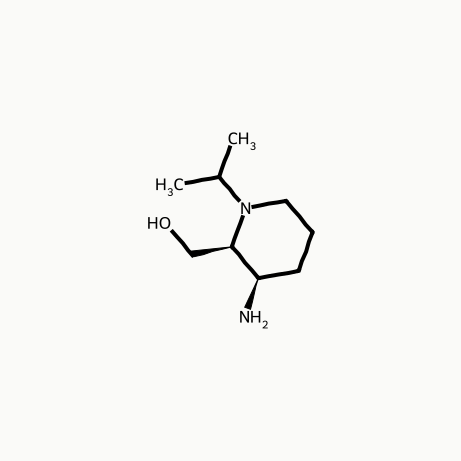 CC(C)N1CCC[C@@H](N)[C@H]1CO